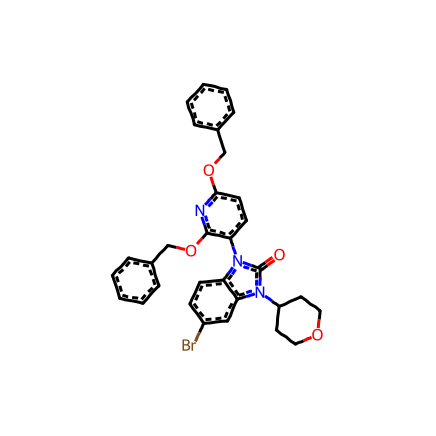 O=c1n(-c2ccc(OCc3ccccc3)nc2OCc2ccccc2)c2ccc(Br)cc2n1C1CCOCC1